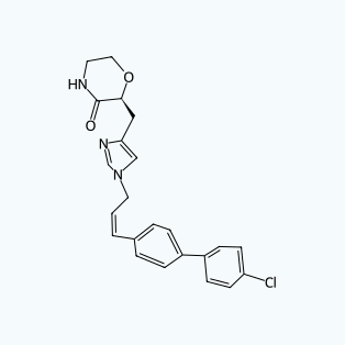 O=C1NCCO[C@H]1Cc1cn(C/C=C\c2ccc(-c3ccc(Cl)cc3)cc2)cn1